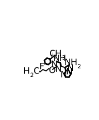 C=CCCCOc1nc(N[C@@H](C)c2ccc(F)cc2)cc(-c2c(N)nn3cccnc23)n1